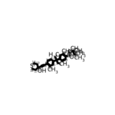 CCC(CC)(c1ccc(C#CC2(O)CCSCC2)c(C)c1)c1ccc(B2OC(C)(C)C(C)(C)O2)c(C)c1